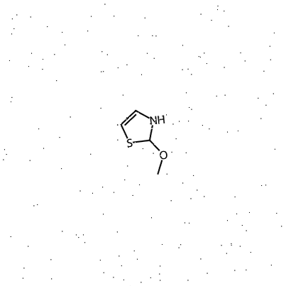 COC1NC=[C]S1